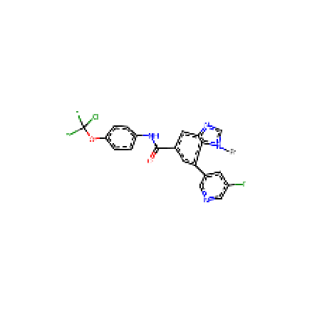 CC(C)n1cnc2cc(C(=O)Nc3ccc(OC(F)(F)Cl)cc3)cc(-c3cncc(F)c3)c21